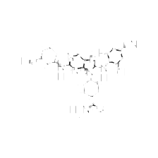 N#Cc1cc(Cl)c(Nc2nc3cnc(N[C@@H]4CCCC(O)C4)nc3n2[C@H]2CC[C@@H](C(N)=O)CC2)c(Cl)c1